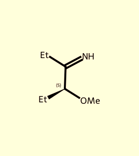 CCC(=N)[C@H](CC)OC